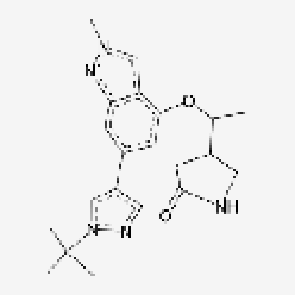 CC(Oc1cc(-c2cnn(C(C)(C)C)c2)cc2nn(C)cc12)C1CNC(=O)C1